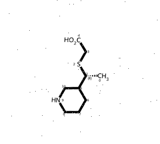 C[C@@H](SCC(=O)O)C1CCCNC1